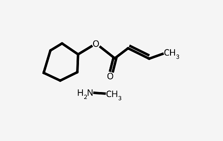 CC=CC(=O)OC1CCCCC1.CN